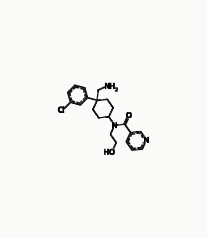 NCC1(c2cccc(Cl)c2)CCC(N(CCO)C(=O)c2cccnc2)CC1